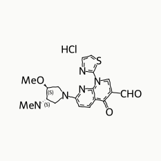 CN[C@H]1CN(c2ccc3c(=O)c(C=O)cn(-c4nccs4)c3n2)C[C@@H]1OC.Cl